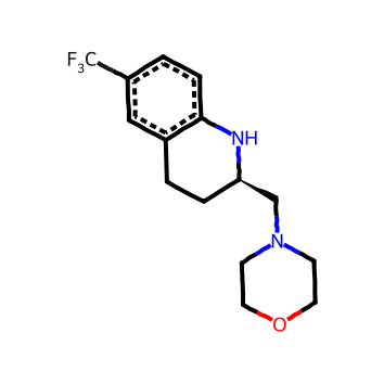 FC(F)(F)c1ccc2c(c1)CC[C@H](CN1CCOCC1)N2